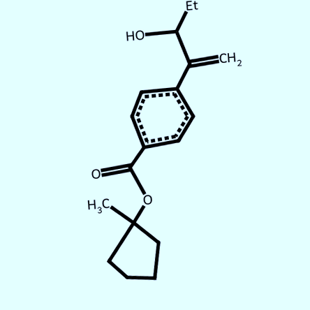 C=C(c1ccc(C(=O)OC2(C)CCCC2)cc1)C(O)CC